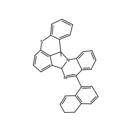 CC12c3ccccc3Sc3cccc(c31)C1N=C(c3cccc4c3C=CCC4)c3ccccc3N12